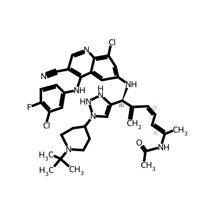 C=C(/C=C\C=C(/C)NC(C)=O)[C@H](Nc1cc(Cl)c2ncc(C#N)c(Nc3ccc(F)c(Cl)c3)c2c1)C1=CN(C2CCN(C(C)(C)C)CC2)NN1